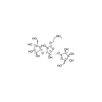 NCCO[C@@H]1O[C@H](CO[C@H]2O[C@H](CO)[C@@H](O)[C@H](O)[C@@H]2O)[C@@H](O)[C@H](O[C@H]2O[C@H](CO)[C@@H](O)[C@H](O)[C@@H]2O)[C@H]1O